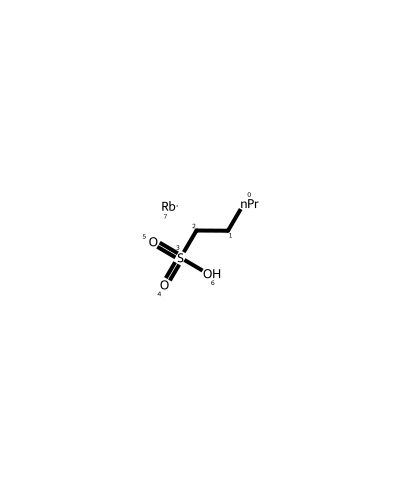 CCCCCS(=O)(=O)O.[Rb]